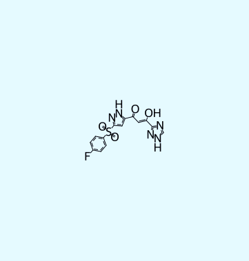 O=C(C=C(O)c1nc[nH]n1)c1cc(S(=O)(=O)c2ccc(F)cc2)n[nH]1